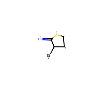 CCC1CCSC1=N